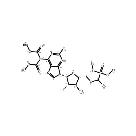 CCOP(=O)(OCC)C(OC[C@H]1O[C@@H](n2cnc3c(N(C(=O)OC(C)(C)C)C(=O)OC(C)(C)C)nc(Cl)nc32)[C@@H](F)[C@@H]1C)C(C)=O